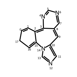 C1=CC2=c3ncncc3=Cc3cncn3C2=CC1